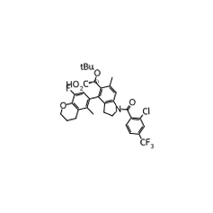 Cc1cc2c(c(-c3cc(F)c4c(c3C)CCCO4)c1[C@H](OC(C)(C)C)C(=O)O)CCN2C(=O)c1ccc(C(F)(F)F)cc1Cl